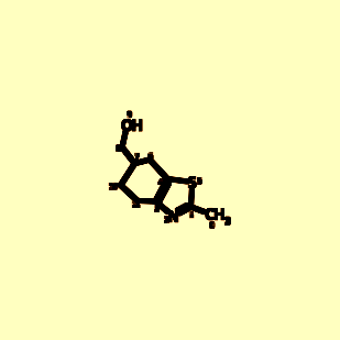 Cc1nc2c(s1)CC(CO)CC2